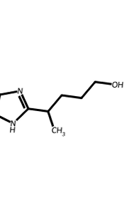 CC(CCCO)C1=NCCN1